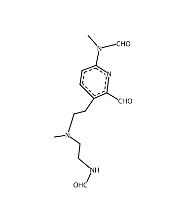 CN(CCNC=O)CCc1ccc(N(C)C=O)nc1C=O